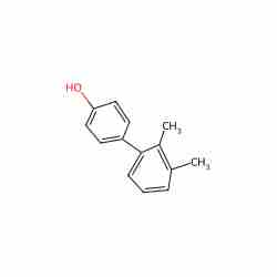 Cc1cccc(-c2ccc(O)cc2)c1C